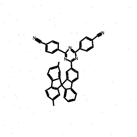 Cc1ccc2c(c1)C1(c3ccccc3-c3ccc(-c4nc(-c5ccc(C#N)cc5)nc(-c5ccc(C#N)cc5)n4)cc31)c1cc(C)ccc1-2